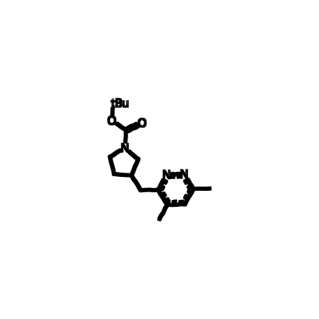 Cc1cc(C)c(CC2CCN(C(=O)OC(C)(C)C)C2)nn1